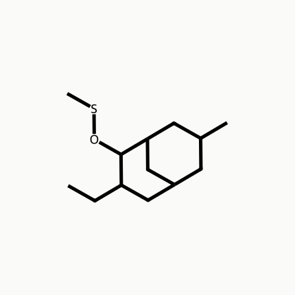 CCC1CC2CC(C)CC(C2)C1OSC